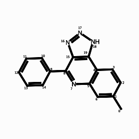 Cc1ccc2c(c1)nc(-c1ccccc1)c1nn[nH]c12